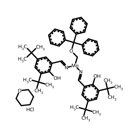 C1CCOCC1.CC(C)(C)c1cc(C=[N][Mn]([CH2]OC(c2ccccc2)(c2ccccc2)c2ccccc2)[N]=Cc2cc(C(C)(C)C)cc(C(C)(C)C)c2O)c(O)c(C(C)(C)C)c1.Cl